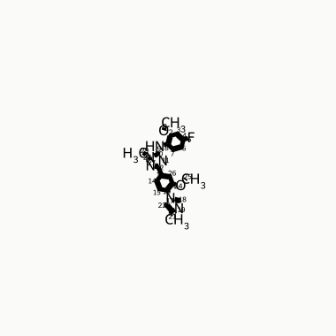 COc1cc(F)ccc1Nc1nc(-c2ccc(-n3cnc(C)c3)c(OC)c2)nn1C